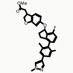 COC(=O)CC1COc2cc(O[C@@H]3CCc4c(-c5c(C)cc(-c6cnn(C)c6)cc5C)ccc(F)c43)ccc21